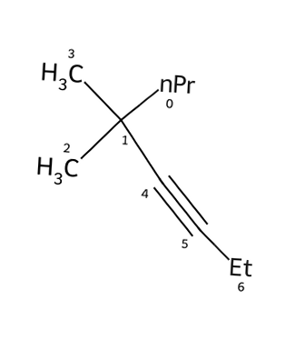 [CH2]CCC(C)(C)C#CCC